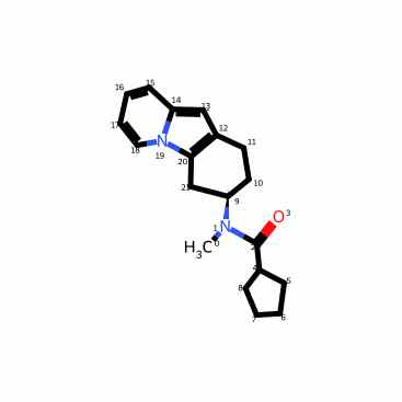 CN(C(=O)C1CCCC1)[C@@H]1CCc2[c]c3ccccn3c2C1